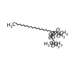 CCCCCCCCCCCCCCCCCCCCC(COC(=O)N(C)C)OP(=O)([O-])OCC[N+](C)(C)C